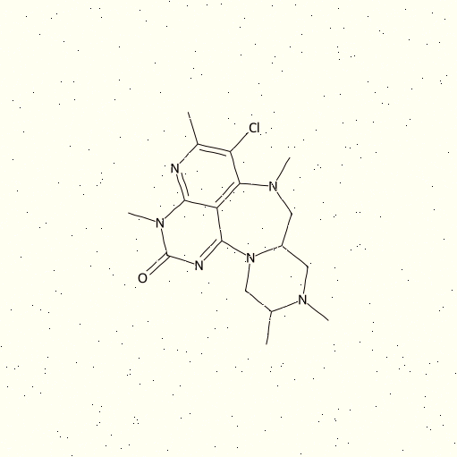 Cc1nc2c3c(nc(=O)n2C)N2CC(C)N(C)CC2CN(C)c3c1Cl